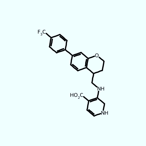 O=C(O)C1=C(NCC2CCOc3cc(-c4ccc(C(F)(F)F)cc4)ccc32)CNC=C1